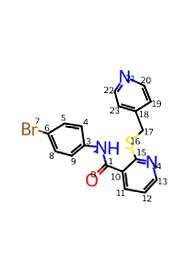 O=C(Nc1ccc(Br)cc1)c1cccnc1SCc1ccncc1